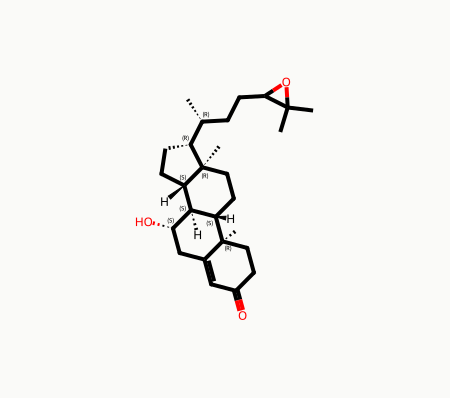 C[C@H](CCC1OC1(C)C)[C@H]1CC[C@H]2[C@@H]3[C@@H](O)CC4=CC(=O)CC[C@]4(C)[C@H]3CC[C@]12C